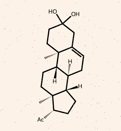 CC(=O)[C@H]1CC[C@H]2[C@@H]3CC=C4CC(O)(O)CC[C@]4(C)[C@H]3CC[C@]12C